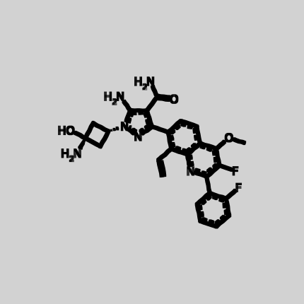 C=Cc1c(-c2nn([C@H]3C[C@@](N)(O)C3)c(N)c2C(N)=O)ccc2c(OC)c(F)c(-c3ccccc3F)nc12